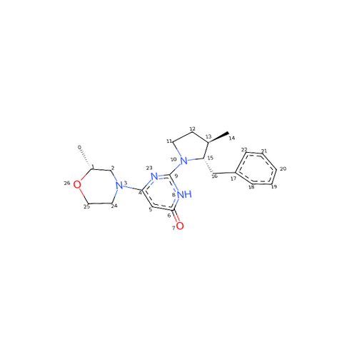 C[C@@H]1CN(c2cc(=O)[nH]c(N3CC[C@@H](C)[C@@H]3Cc3ccccc3)n2)CCO1